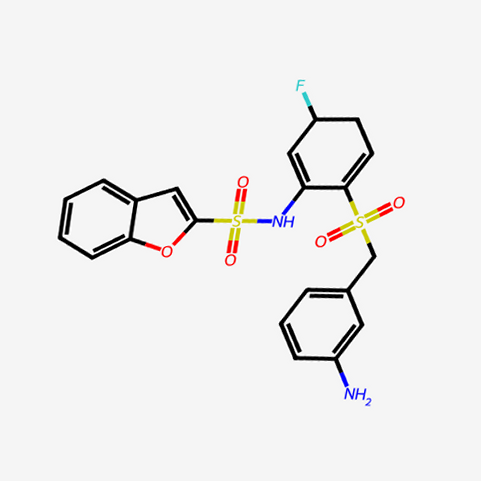 Nc1cccc(CS(=O)(=O)C2=CCC(F)C=C2NS(=O)(=O)c2cc3ccccc3o2)c1